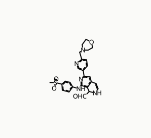 CS(=O)(=O)c1ccc(Nc2nc(-c3ccc(CN4CCOCC4)nc3)cc3c2C(C=O)NC=C3)cc1